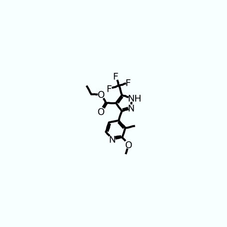 CCOC(=O)c1c(-c2ccnc(OC)c2C)n[nH]c1C(F)(F)F